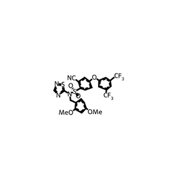 COc1ccc(CN(c2ncns2)S(=O)(=O)c2ccc(Oc3cc(C(F)(F)F)cc(C(F)(F)F)c3)cc2C#N)c(OC)c1